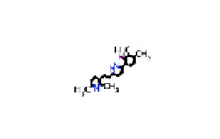 Cc1ccc(CCc2ccc(-c3ccc(C)c(C)c3I)nn2)c(C)n1